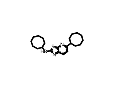 B(c1nc2ccc(C3CCCCCCC3)nc2s1)C1CCCCCCC1